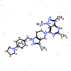 Cc1nc(N2CCc3c(c(C)nn3CC34CCC(N5CCCC5)(CC3)CC4)C2)c2c(n1)c(C)nn2C